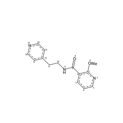 COc1ncccc1C(=O)NCCc1ccncc1